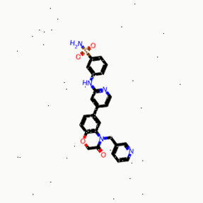 NS(=O)(=O)c1cccc(Nc2cc(-c3ccc4c(c3)N(Cc3cccnc3)C(=O)CO4)ccn2)c1